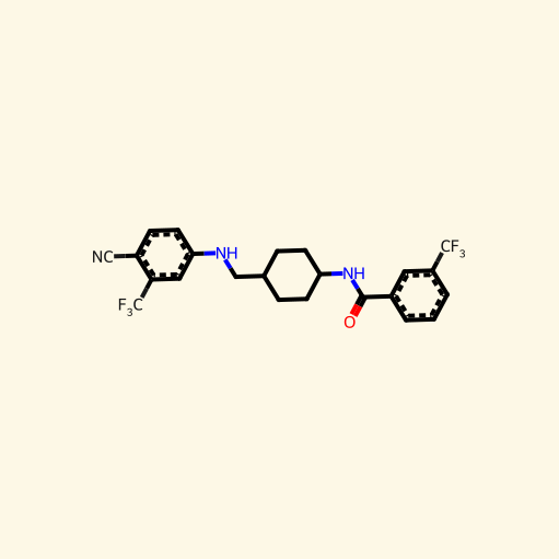 N#Cc1ccc(NCC2CCC(NC(=O)c3cccc(C(F)(F)F)c3)CC2)cc1C(F)(F)F